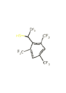 CC(S)c1c(C(F)(F)F)cc(C(F)(F)F)cc1C(F)(F)F